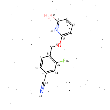 Bc1cccc(OCc2ccc(C#N)cc2F)n1